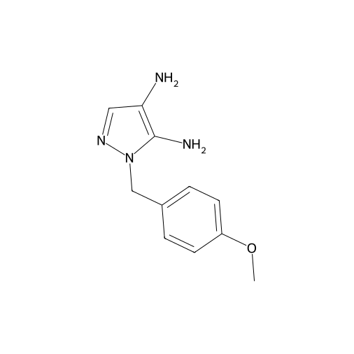 COc1ccc(Cn2ncc(N)c2N)cc1